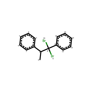 CC(c1ccccc1)C(Br)(Br)c1ccccc1